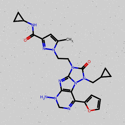 Cc1cc(C(=O)NC2CC2)nn1CCn1c(=O)n(CC2CC2)n2c3c(nc12)N(N)CN=C3c1ccco1